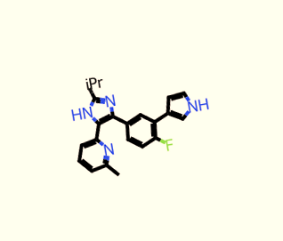 Cc1cccc(-c2[nH]c(C(C)C)nc2-c2ccc(F)c(-c3cc[nH]c3)c2)n1